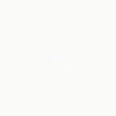 C=C1CCC(=O)N(C2CCCCCC2)C(C)=N1